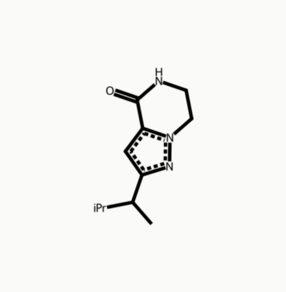 CC(C)C(C)c1cc2n(n1)CCNC2=O